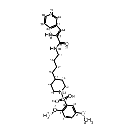 COc1ccc(OC)c(S(=O)(=O)N2CCC(CCCCNC(=O)c3cc4cnccc4[nH]3)CC2)c1